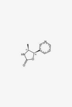 C[C@@H]1NC(=O)O[C@@H]1c1cccnc1